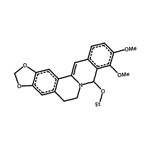 CCOC1c2c(ccc(OC)c2OC)C=C2c3cc4c(cc3CCN21)OCO4